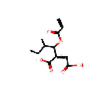 C=CC(=O)OC(/C(=C/C(=O)O)C(=O)O)C(C)CC